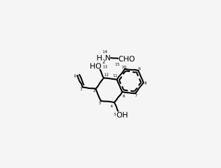 C=CC1CC(O)c2ccccc2C1O.NC=O